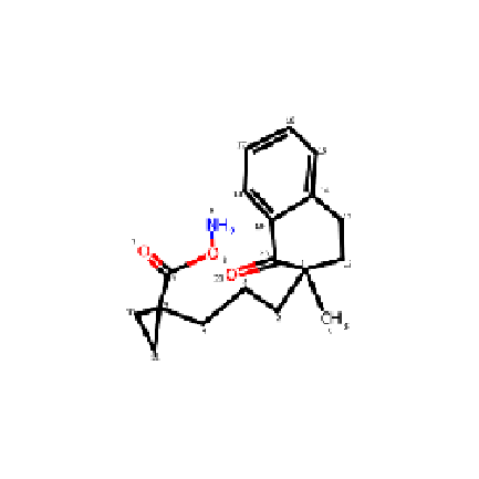 CC1(CCCC2(C(=O)ON)CC2)CCc2ccccc2C1=O